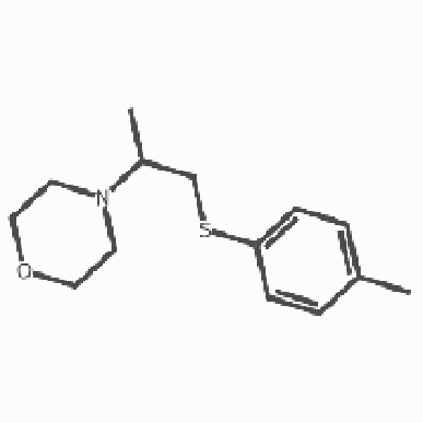 Cc1ccc(SCC(C)N2CCOCC2)cc1